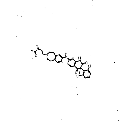 CC(=O)N(C)CCN1CCc2ccc(Nc3ncc4c(=N)n(-c5c(Cl)cccc5Cl)c(=O)[nH]c4n3)cc2CC1